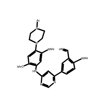 CNc1ccc(-c2cc(Nc3cc(NC)c(N4CCN(C(C)=O)CC4)cc3OC)ncn2)cc1C=N